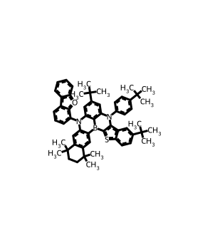 CC(C)(C)c1ccc(N2c3cc(C(C)(C)C)cc4c3B(c3cc5c(cc3N4c3cccc4c3oc3ccccc34)C(C)(C)CCC5(C)C)c3sc4ccc(C(C)(C)C)cc4c32)cc1